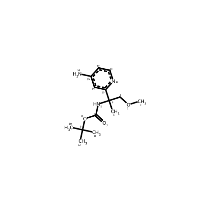 COCC(C)(NC(=O)OC(C)(C)C)c1cc(N)ccn1